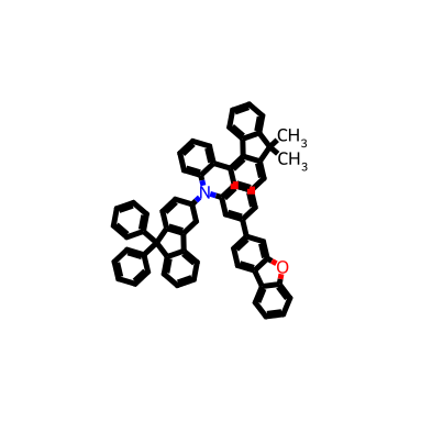 CC1(C)c2ccccc2-c2c(-c3ccccc3N(c3cccc(-c4ccc5c(c4)oc4ccccc45)c3)C3C=CC4=C(C3)c3ccccc3C4(c3ccccc3)c3ccccc3)cccc21